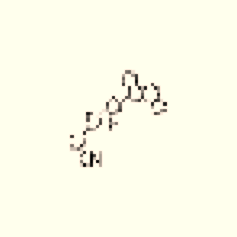 CC1(C)c2cc(-c3cccc(C#N)c3)ccc2-c2ccc(-c3cc4c5ccccc5ccc4c4ccccc34)cc21